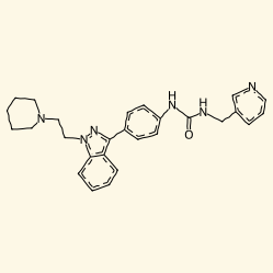 O=C(NCc1cccnc1)Nc1ccc(-c2nn(CCN3CCCCC3)c3ccccc23)cc1